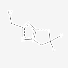 FC1(F)Cc2cc(CBr)nn2C1